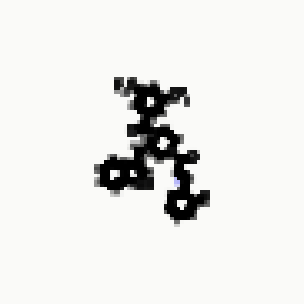 O=C(/C=C/c1ccccc1F)N1CCN(C(=O)c2cc(C(F)(F)F)cc(C(F)(F)F)c2)[C@H](Cc2c[nH]c3ccccc23)C1